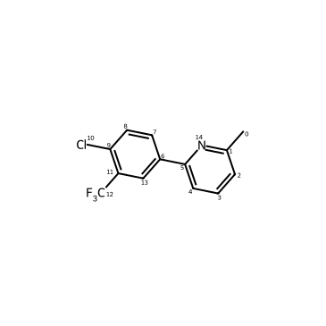 Cc1cccc(-c2ccc(Cl)c(C(F)(F)F)c2)n1